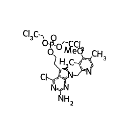 COc1c(C)cnc(Cn2cc(CCOP(=O)(OCC(Cl)(Cl)Cl)OCC(Cl)(Cl)Cl)c3c(Cl)nc(N)nc32)c1C